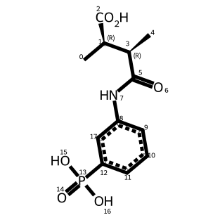 C[C@@H](C(=O)O)[C@@H](C)C(=O)Nc1cccc(P(=O)(O)O)c1